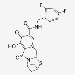 O=C(NCc1ccc(F)cc1F)c1cn2c(c(O)c1=O)C(=O)N1C3CC(C3)SC1C2